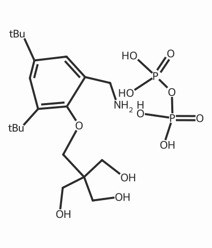 CC(C)(C)c1cc(CN)c(OCC(CO)(CO)CO)c(C(C)(C)C)c1.O=P(O)(O)OP(=O)(O)O